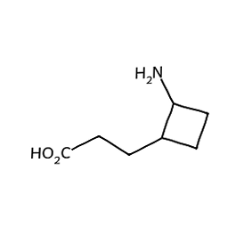 NC1CCC1CCC(=O)O